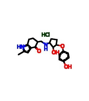 Cc1cc2c([nH]1)CCC(CNC1CCC(Oc3ccc(O)cc3)C1O)C2=O.Cl